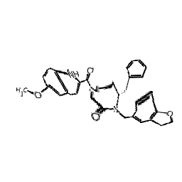 COc1ccc2[nH]c(C(=O)N3CC(=O)N(Cc4ccc5c(c4)CCO5)[C@@H](Cc4ccccc4)C3)cc2c1